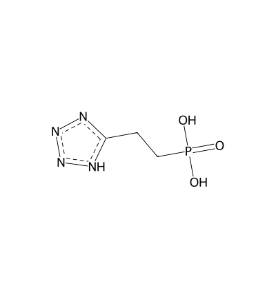 O=P(O)(O)CCc1nnn[nH]1